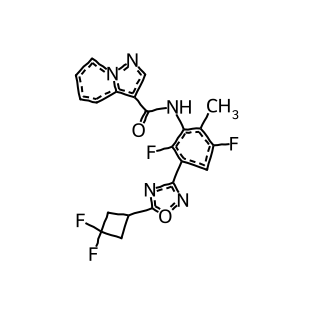 Cc1c(F)cc(-c2noc(C3CC(F)(F)C3)n2)c(F)c1NC(=O)c1cnn2ccccc12